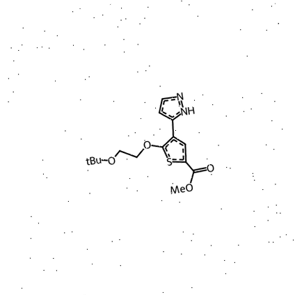 COC(=O)c1cc(-c2ccn[nH]2)c(OCCOC(C)(C)C)s1